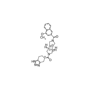 COc1cc(C(=O)N2C[C@@H]3[C@H](C2)[C@H]2CN(C(=O)[C@@H]4CCc5[nH]nnc5C4)C[C@@H]32)cc2ccccc12